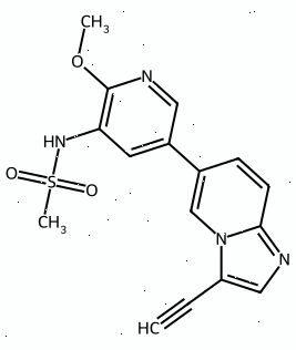 C#Cc1cnc2ccc(-c3cnc(OC)c(NS(C)(=O)=O)c3)cn12